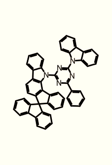 c1ccc(-c2nc(-n3c4ccccc4c4ccccc43)nc(-n3c4ccccc4c4ccc5c(c43)-c3ccccc3C53c4ccccc4-c4ccccc43)n2)cc1